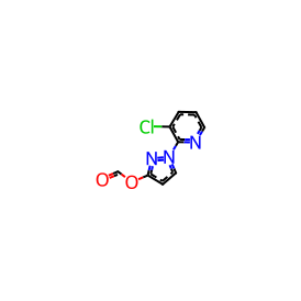 O=COc1ccn(-c2ncccc2Cl)n1